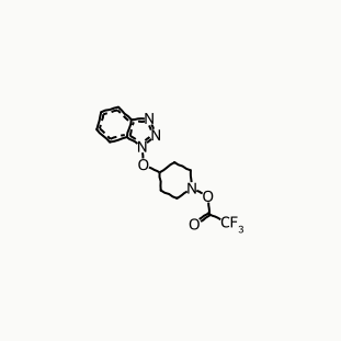 O=C(ON1CCC(On2nnc3ccccc32)CC1)C(F)(F)F